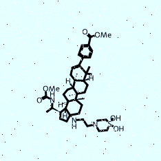 COC(=O)NC(C)[C@@H]1CC[C@]2(NCCN3CCS(O)(O)CC3)CC[C@]3(C)[C@H](CC[C@@H]4[C@@]5(C)CC=C(c6ccc(C(=O)OC)cc6)C(C)(C)[C@@H]5CC[C@]43C)[C@@H]12